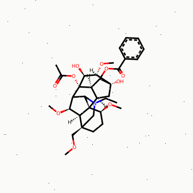 CCN1C[C@]2(COC)CC[C@H](OC)[C@]34C1C([C@H](OC)[C@H]23)[C@]1(OC(C)=O)[C@H]2[C@@H](OC(=O)c3ccccc3)[C@](O)(C[C@H]24)[C@@H](OC)[C@@H]1O